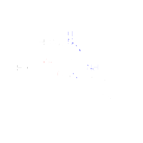 CCOC(=O)c1c(-c2nc3ccc(C4CC4)cc3[nH]2)n[nH]c1C